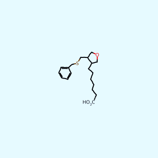 O=C(O)CCCCCCC1COCC1CSCc1ccccc1